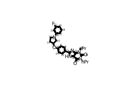 CCCn1c(=O)c2[nH]c(-c3ccc(OC4CCN(c5cccc(F)c5)C4)cc3)nc2n(CCC)c1=O